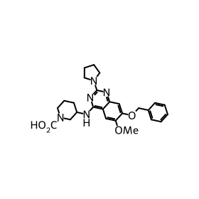 COc1cc2c(NC3CCCN(C(=O)O)C3)nc(N3CCCC3)nc2cc1OCc1ccccc1